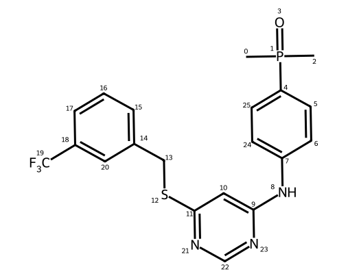 CP(C)(=O)c1ccc(Nc2cc(SCc3cccc(C(F)(F)F)c3)ncn2)cc1